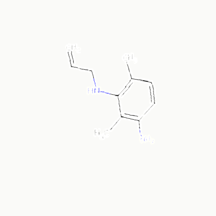 C=CCNc1c(C)ccc(N)c1C